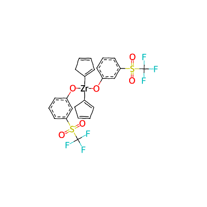 O=S(=O)(c1cccc([O][Zr]([O]c2cccc(S(=O)(=O)C(F)(F)F)c2)([C]2=CC=CC2)[C]2=CC=CC2)c1)C(F)(F)F